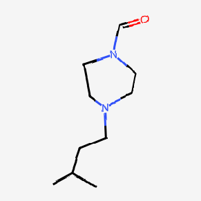 CC(C)CCN1CCN(C=O)CC1